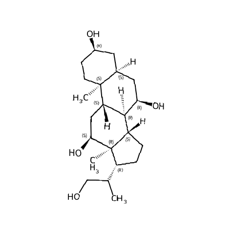 CC(CO)[C@H]1CC[C@H]2[C@@H]3[C@H](O)C[C@@H]4C[C@H](O)CC[C@]4(C)[C@H]3C[C@H](O)[C@]12C